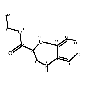 C/C=C1/NCC(C(=O)OCC)O/C1=C/C